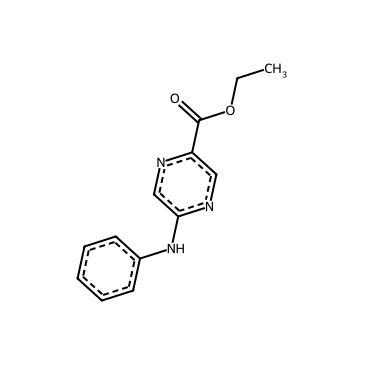 CCOC(=O)c1cnc(Nc2ccccc2)cn1